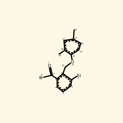 CCc1cccc(C(=O)Br)c1COc1ccc(C)cc1C